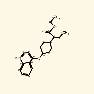 CCOC(=O)C(CC)C1CCC(Oc2ccnc3ccccc23)CC1